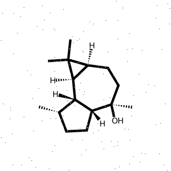 C[C@H]1CC[C@@H]2[C@H]1[C@@H]1[C@H](CC[C@@]2(C)O)C1(C)C